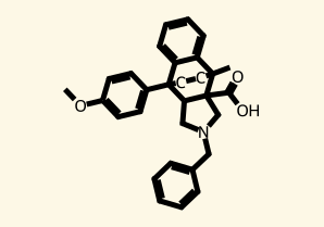 COc1ccc(C23CCC(C)(c4ccccc42)C2(C(=O)O)CN(Cc4ccccc4)CC32)cc1